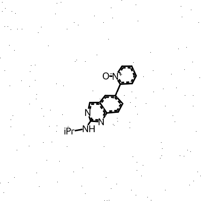 CC(C)Nc1ncc2cc(-c3cccc[n+]3[O-])ccc2n1